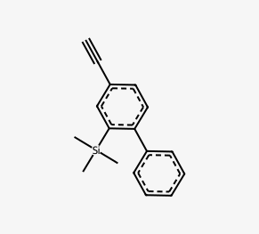 C#Cc1ccc(-c2ccccc2)c([Si](C)(C)C)c1